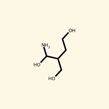 NC(O)C(CO)CCO